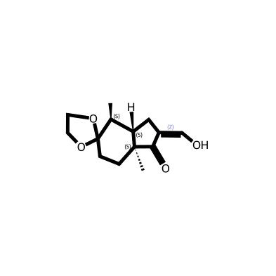 C[C@H]1[C@@H]2C/C(=C/O)C(=O)[C@@]2(C)CCC12OCCO2